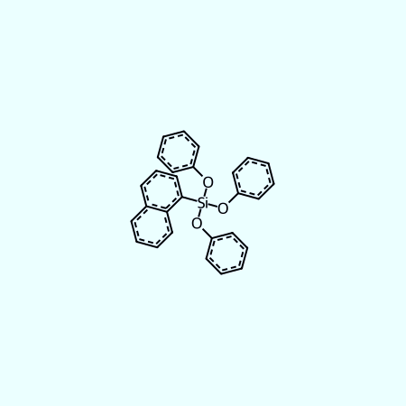 c1ccc(O[Si](Oc2ccccc2)(Oc2ccccc2)c2cccc3ccccc23)cc1